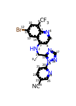 C[C@H](Nc1ccnc2c(C(F)(F)F)cc(Br)cc12)c1ncnn1-c1ccc(C#N)cn1